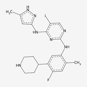 Cc1cc(Nc2nc(Nc3cc(C4CCNCC4)c(F)cc3C)ncc2I)n[nH]1